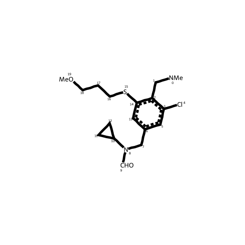 CNCc1c(Cl)cc(CN(C=O)C2CC2)cc1SCCCOC